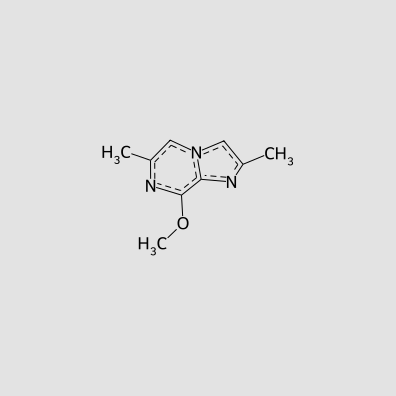 COc1nc(C)cn2cc(C)nc12